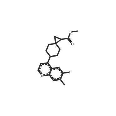 COC(=O)C1CC12CCC(c1ccnc3cc(C)c(F)cc13)CC2